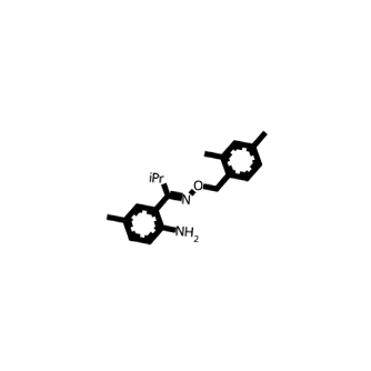 Cc1ccc(CO/N=C(/c2cc(C)ccc2N)C(C)C)c(C)c1